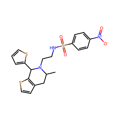 CC1Cc2ccsc2C(c2cccs2)N1CCNS(=O)(=O)c1ccc([N+](=O)[O-])cc1